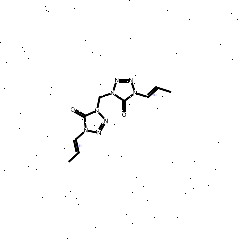 C/C=C/n1nnn(Cn2nnn(/C=C/C)c2=O)c1=O